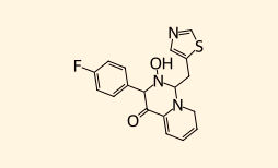 O=C1C2=CC=CCN2C(Cc2cncs2)N(O)C1c1ccc(F)cc1